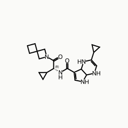 O=C(N[C@@H](C(=O)N1CC2(CCC2)C1)C1CC1)C1=CNC2NC=C(C3CC3)NC12